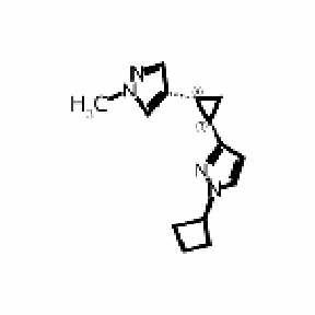 Cn1cc([C@@H]2C[C@H]2c2ccn(C3CCC3)n2)cn1